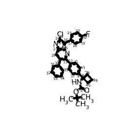 CC(C)(C)OC(=O)NC1(c2ccc(-c3nn4c(-c5ccc(F)cc5)c(Cl)nc4cc3-c3ccccc3)cc2)CCC1